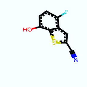 N#Cc1cc2c(F)ccc(O)c2s1